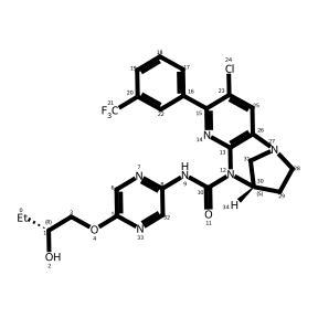 CC[C@@H](O)COc1cnc(NC(=O)N2c3nc(-c4cccc(C(F)(F)F)c4)c(Cl)cc3N3CC[C@H]2C3)cn1